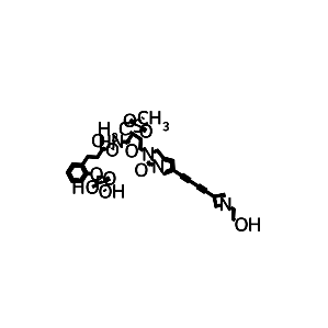 CC(CCN1Cc2cc(C#CC#CC3CN(CCO)C3)cn2C1=O)(C(=O)NOC(=O)CCc1ccccc1OP(=O)(O)O)S(C)(=O)=O